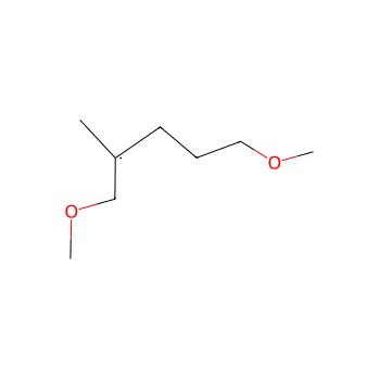 COCCC[C](C)COC